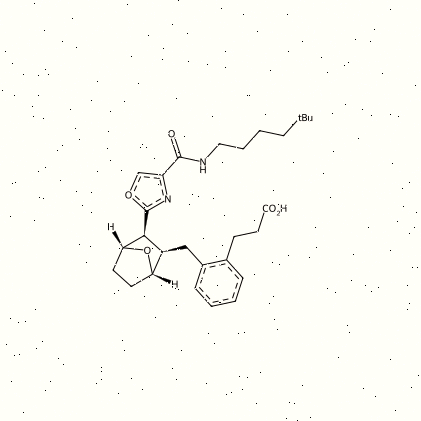 CC(C)(C)CCCCNC(=O)c1coc([C@H]2[C@@H](Cc3ccccc3CCC(=O)O)[C@@H]3CC[C@H]2O3)n1